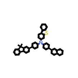 CC1(C)c2ccccc2-c2ccc(-c3ccc(N(c4ccc(-c5ccc6ccccc6c5)cc4)c4ccc5c(c4)sc4ccccc45)cc3)cc21